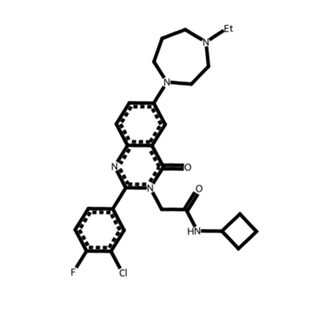 CCN1CCCN(c2ccc3nc(-c4ccc(F)c(Cl)c4)n(CC(=O)NC4CCC4)c(=O)c3c2)CC1